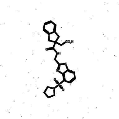 O=C(O)CC1(C(=O)NCc2nc3c(S(=O)(=O)N4CCCC4)cccc3s2)Cc2ccccc2C1